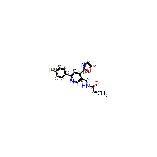 C=CC(=O)NCc1cnc(-c2ccc(F)cc2)cc1-c1ncco1